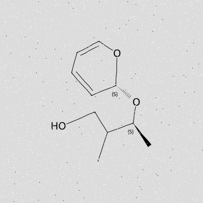 CC(CO)[C@H](C)O[C@@H]1C=CC=CO1